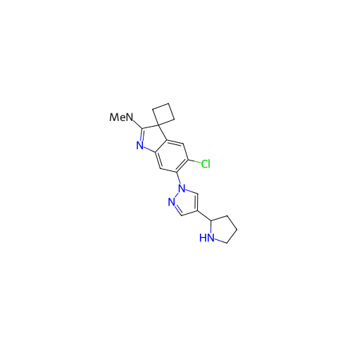 CNC1=Nc2cc(-n3cc(C4CCCN4)cn3)c(Cl)cc2C12CCC2